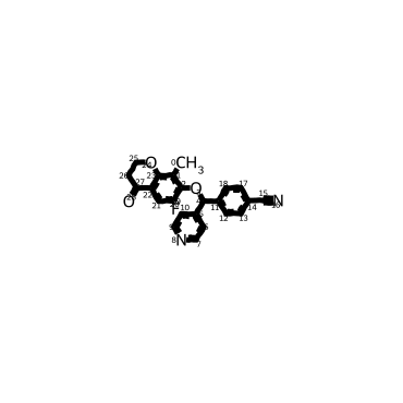 Cc1c(OC(c2ccncc2)c2ccc(C#N)cc2)c(F)cc2c1OCCC2=O